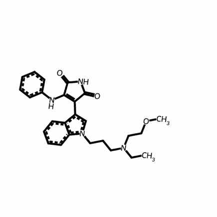 CCN(CCCn1cc(C2=C(Nc3ccccc3)C(=O)NC2=O)c2ccccc21)CCOC